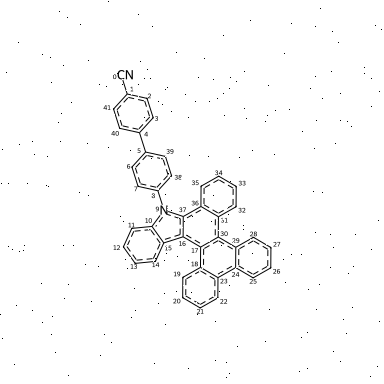 N#Cc1ccc(-c2ccc(-n3c4ccccc4c4c5c6ccccc6c6ccccc6c5c5ccccc5c43)cc2)cc1